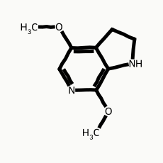 COc1cnc(OC)c2c1CCN2